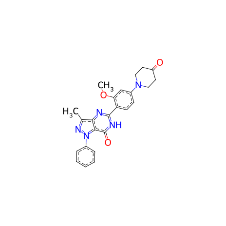 COc1cc(N2CCC(=O)CC2)ccc1-c1nc2c(C)nn(-c3ccccc3)c2c(=O)[nH]1